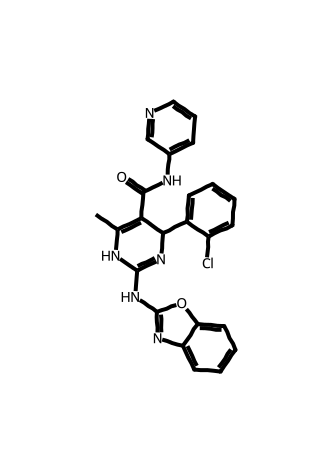 CC1=C(C(=O)Nc2cccnc2)C(c2ccccc2Cl)N=C(Nc2nc3ccccc3o2)N1